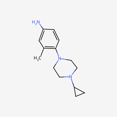 Cc1cc(N)ccc1N1CCN(C2CC2)CC1